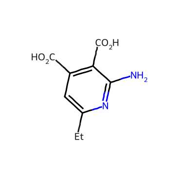 CCc1cc(C(=O)O)c(C(=O)O)c(N)n1